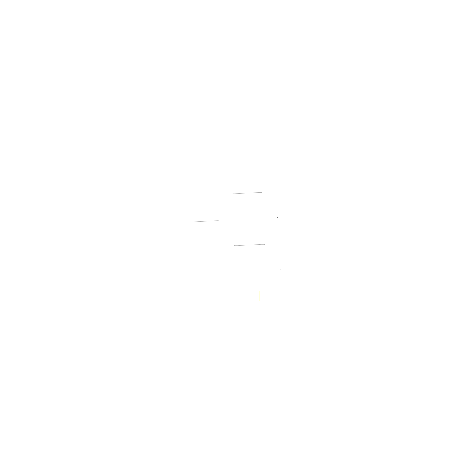 CC1CC(C)CC(CS)C1